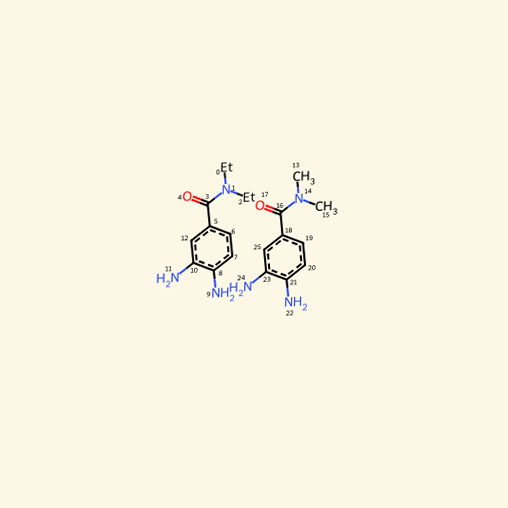 CCN(CC)C(=O)c1ccc(N)c(N)c1.CN(C)C(=O)c1ccc(N)c(N)c1